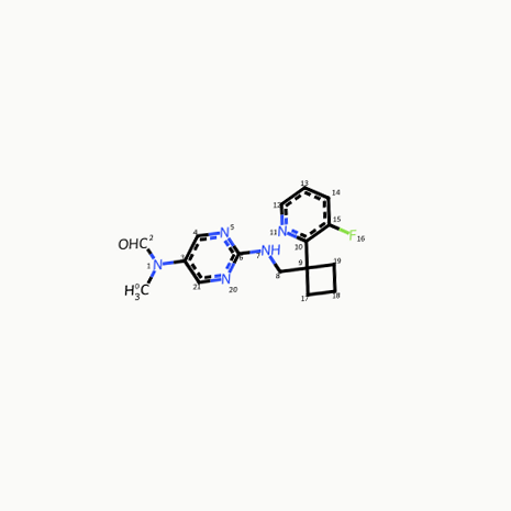 CN(C=O)c1cnc(NCC2(c3ncccc3F)CCC2)nc1